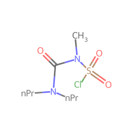 CCCN(CCC)C(=O)N(C)S(=O)(=O)Cl